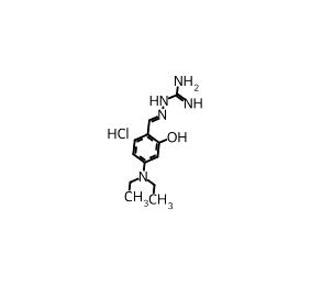 CCN(CC)c1ccc(/C=N/NC(=N)N)c(O)c1.Cl